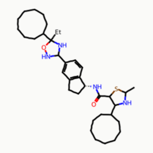 CCC1(C2CCCCCCCC2)NC(c2ccc3c(c2)CC[C@H]3NC(=O)C2SC(C)NC2C2CCCCCCCC2)NO1